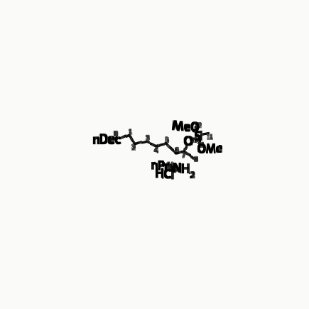 CCCCCCCCCCCCCCCCC(C)O[Si](C)(OC)OC.CCCN.Cl